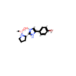 CB(O)N1CCC[C@H]1c1ncc(-c2ccc(Br)cc2)[nH]1